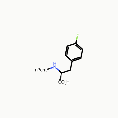 CCCCCN[C@@H](Cc1ccc(F)cc1)C(=O)O